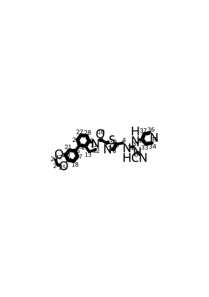 N#C/N=C(\NCc1cnc(C(=O)N2CCc3c(-c4ccc5c(c4)OCCO5)cccc32)s1)Nc1ccncc1